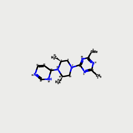 COc1nc(C)nc(N2C[C@@H](C)N(C3C=CN=[C]N3)[C@@H](C)C2)n1